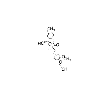 C#CCOc1ccc(CCNC(=O)[C@@H](Cc2ccc(CC)cc2)OCC#C)cc1OC